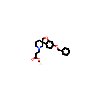 CC(C)(C)OC(=O)CCN1CCCC2(COc3cc(OCc4ccccc4)ccc32)C1